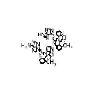 Cc1cccc2nc(CSc3ncnc4[nH]cnc34)n(-c3cccnc3Cl)c(=O)c12.Cc1cccc2nc(Cn3cnc4c(N)ncnc43)n(-c3cccnc3Cl)c(=O)c12